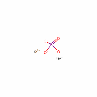 O=P([O-])([O-])[O-].[Fe+2].[S+2]